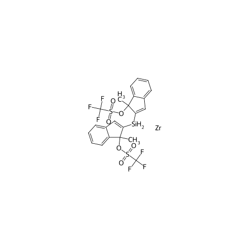 CC1(OS(=O)(=O)C(F)(F)F)C([SiH2]C2=Cc3ccccc3C2(C)OS(=O)(=O)C(F)(F)F)=Cc2ccccc21.[Zr]